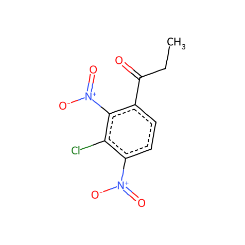 CCC(=O)c1ccc([N+](=O)[O-])c(Cl)c1[N+](=O)[O-]